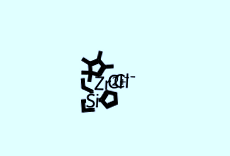 CCC[Si]1(C2=[C]([Zr+2][C]3=C(C)C(C)=C(C)C3(C)C)CC=C2)CCC1.[Cl-].[Cl-]